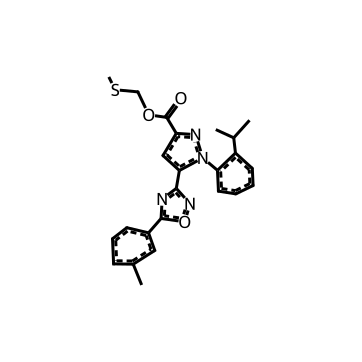 CSCOC(=O)c1cc(-c2noc(-c3cccc(C)c3)n2)n(-c2ccccc2C(C)C)n1